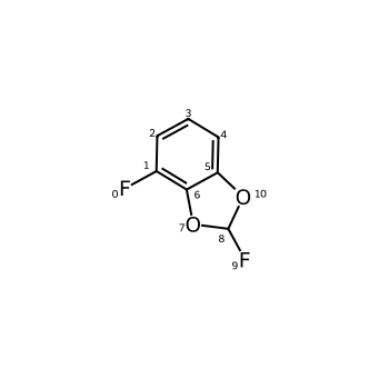 Fc1cccc2c1OC(F)O2